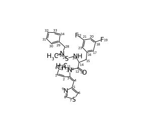 C/C=C\C(=C/c1cscn1)N(C)C(=O)C(Cc1cc(F)cc(F)c1)NSN(C)Cc1ccccc1